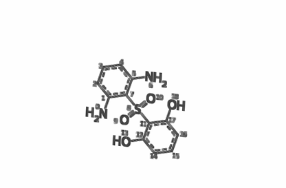 Nc1cccc(N)c1S(=O)(=O)c1c(O)cccc1O